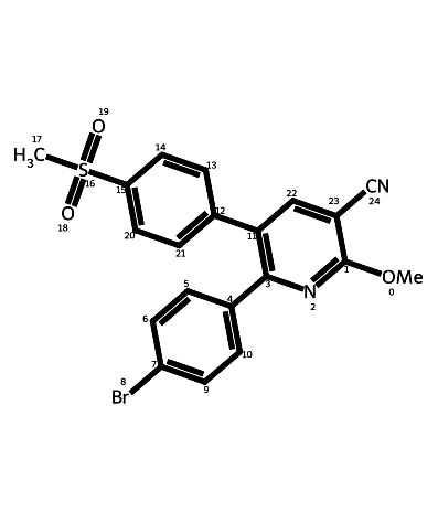 COc1nc(-c2ccc(Br)cc2)c(-c2ccc(S(C)(=O)=O)cc2)cc1C#N